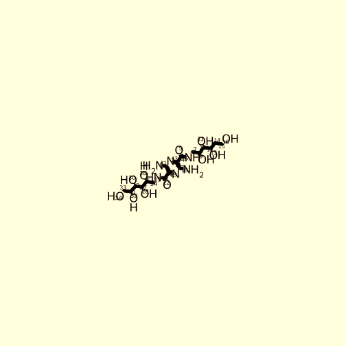 Nc1nc(C(=O)NC[C@@H](O)[C@H](O)[C@@H](O)CCO)c(N)nc1C(=O)NC[C@@H](O)[C@H](O)[C@@H](O)[C@@H](O)CO